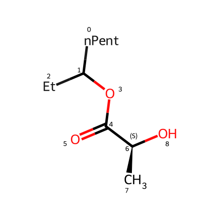 CCCCCC(CC)OC(=O)[C@H](C)O